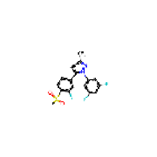 CS(=O)(=O)c1ccc(-c2cc(C(F)(F)F)nn2-c2cc(F)cc(F)c2)cc1F